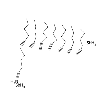 C#CCCCC.C#CCCCC.C#CCCCC.C#CCCCC.C#CCCCC.C#CCCCC.C#CCCCC.C#CCCCC.N.[SbH3].[SbH3]